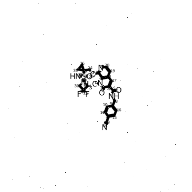 Cn1c(=O)c(C(=O)NCc2ccc(C#N)cc2)cc2ccnc(OCC3(S(=N)(=O)N4CC(F)(F)C4)CC3)c21